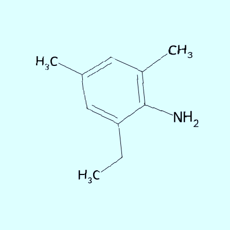 CCc1cc(C)cc(C)c1N